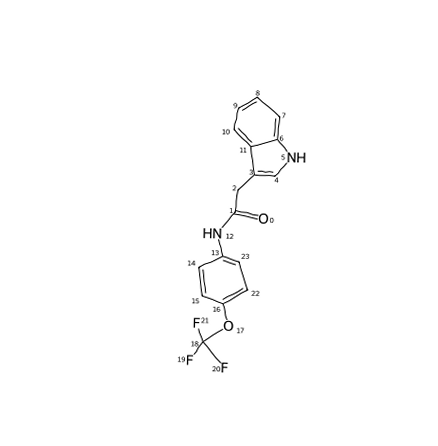 O=C(Cc1c[nH]c2ccccc12)Nc1ccc(OC(F)(F)F)cc1